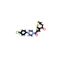 CC1(C)CC(=O)c2cc(C(=O)N3CCN(c4ccc(Cl)cc4)CC3)sc2S1